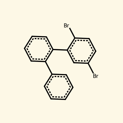 Brc1ccc(Br)c(-c2ccccc2-c2ccccc2)c1